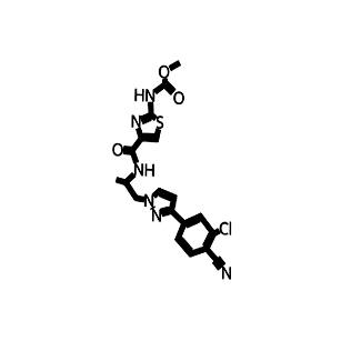 COC(=O)Nc1nc(C(=O)NC(C)Cn2ccc(-c3ccc(C#N)c(Cl)c3)n2)cs1